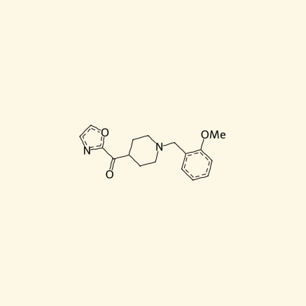 COc1ccccc1CN1CCC(C(=O)c2ncco2)CC1